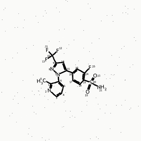 Cc1ncccc1-n1nc(C(F)(F)F)cc1-c1ccc(S(N)(=O)=O)c(F)c1